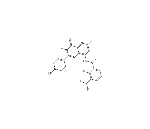 CCN1CC=C(c2cc3c(N[C@H](C)c4cccc(C(F)F)c4F)nc(C)nc3c(=O)n2C)CC1